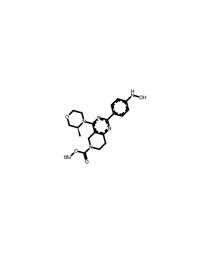 C[C@H]1COCCN1c1nc(-c2ccc(NO)cc2)nc2c1CN(C(=O)OC(C)(C)C)CC2